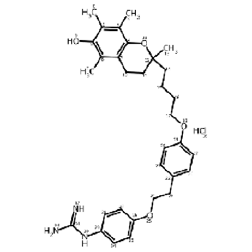 Cc1c(C)c2c(c(C)c1O)CCC(C)(CCCCOc1ccc(CCOc3ccc(NC(=N)N)cc3)cc1)O2.Cl